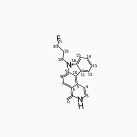 C=C1NC=Cc2c1ccc1c2c2ccccc2n1CCCF